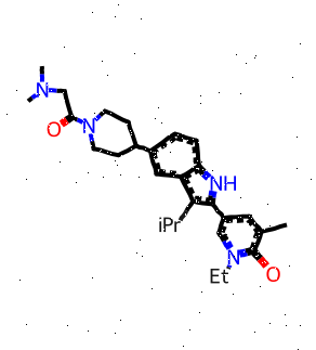 CCn1cc(-c2[nH]c3ccc(C4CCN(C(=O)CN(C)C)CC4)cc3c2C(C)C)cc(C)c1=O